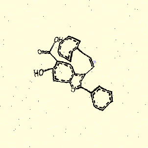 O=C(O)c1cc2c(/C=C\c3ccccc3)c(-c3ccccc3)oc2cc1O